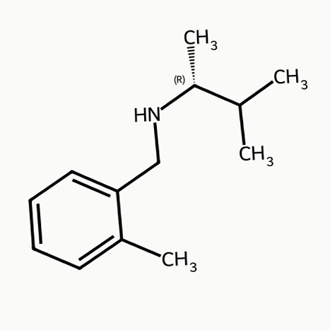 Cc1ccccc1CN[C@H](C)C(C)C